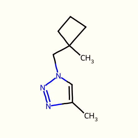 Cc1cn(CC2(C)CCC2)nn1